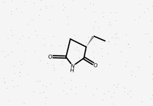 CC[C@H]1CC(=O)NC1=O